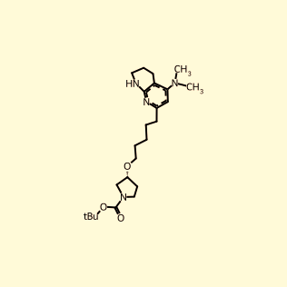 CN(C)c1cc(CCCCCO[C@@H]2CCN(C(=O)OC(C)(C)C)C2)nc2c1CCCN2